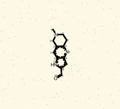 CN1CCc2nc3cc(C=O)[nH]c3cc2C1